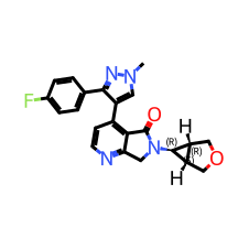 Cn1cc(-c2ccnc3c2C(=O)N([C@H]2[C@@H]4COC[C@@H]42)C3)c(-c2ccc(F)cc2)n1